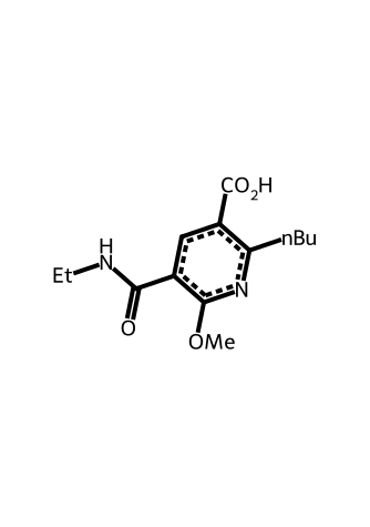 CCCCc1nc(OC)c(C(=O)NCC)cc1C(=O)O